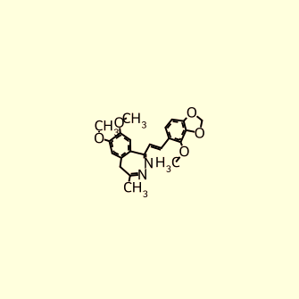 COc1cc2c(cc1OC)C(C=Cc1ccc3c(c1OC)OCO3)=NN=C(C)C2